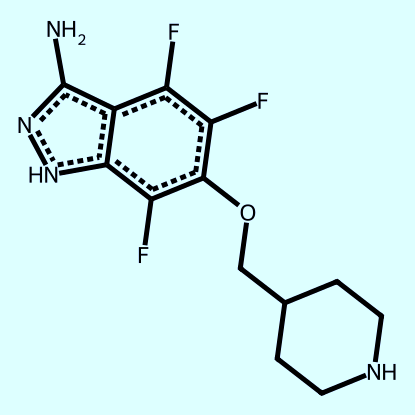 Nc1n[nH]c2c(F)c(OCC3CCNCC3)c(F)c(F)c12